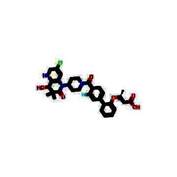 C[C@H](CC(=O)O)OC1=CC=CCC1C1=CCC(C(=O)N2CCC(N3C(=O)C(C)(C)C(O)C4=C3C=C(Cl)CN4)CC2)C(F)=C1